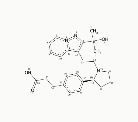 CC(C)(O)c1nn2ccccc2c1CCN1CCC[C@H]1c1ccc(CCC(=O)N=O)cc1